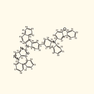 c1ccc(-c2nc(-n3c4ccc(-c5ccc6c(c5)c5ccccc5n6-c5ccc6oc7ccccc7c6c5)cc4c4c5ccccc5ccc43)nc3cnn(-c4ccccc4)c23)cc1